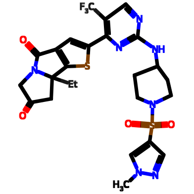 CCC12CC(=O)CN1C(=O)c1cc(-c3nc(NC4CCN(S(=O)(=O)c5cnn(C)c5)CC4)ncc3C(F)(F)F)sc12